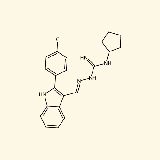 N=C(NN=Cc1c(-c2ccc(Cl)cc2)[nH]c2ccccc12)NC1CCCC1